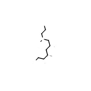 CCCN(C)C[C@H](C)[C@@H](C)[C@@H](C)[C@H](C)CO